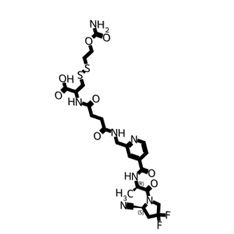 C[C@@H](NC(=O)c1ccnc(CNC(=O)CCC(=O)NC(CSSCCOC(N)=O)C(=O)O)c1)C(=O)N1CC(F)(F)C[C@H]1C#N